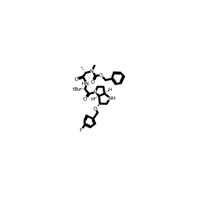 C[C@@H](C(=O)N[C@H](C(=O)N1CC[C@H]2NC[C@H](OCc3ccc(F)cc3)[C@H]21)C(C)(C)C)N(C)C(=O)OCc1ccccc1